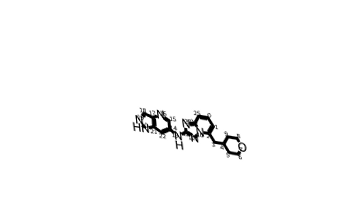 c1cc(CC2CCOCC2)n2nc(Nc3cnc4cn[nH]c4c3)nc2c1